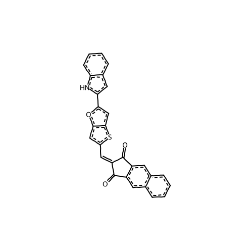 O=C1C(=Cc2cc3oc(-c4cc5ccccc5[nH]4)cc3s2)C(=O)c2cc3ccccc3cc21